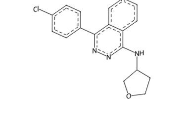 Clc1ccc(-c2nnc(NC3CCOC3)c3ccncc23)cc1